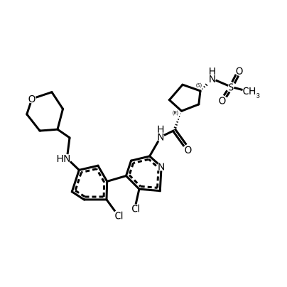 CS(=O)(=O)N[C@H]1CC[C@@H](C(=O)Nc2cc(-c3cc(NCC4CCOCC4)ccc3Cl)c(Cl)cn2)C1